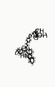 CN(CCOc1ccc(C=CC(=O)N2CCc3c([nH]c4ccccc34)C2c2ccc3c(c2)CCO3)cc1)C(=O)O